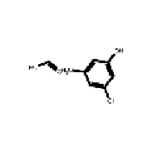 Cc1cc(O)cc(O)c1.O=CO